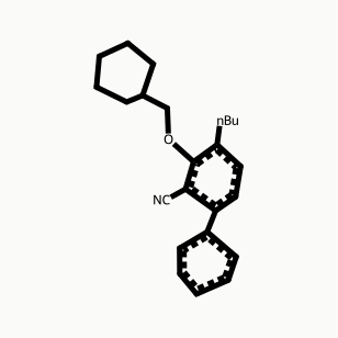 CCCCc1ccc(-c2ccccc2)c(C#N)c1OCC1CCCCC1